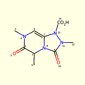 CC1C(=O)N(C)C=C2N1C(=O)N(C)N2C(=O)O